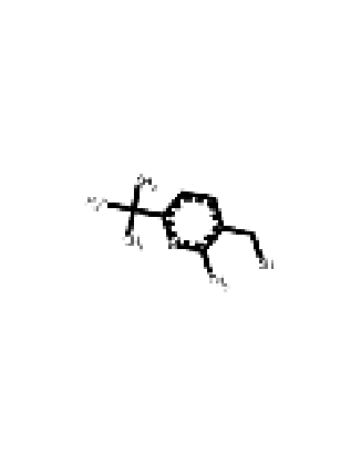 Cc1nc(C(C)(C)C)ccc1CS